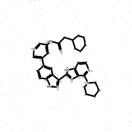 O=C(CC1CCCCC1)Nc1cncc(-c2ccc3[nH]nc(-c4nc5c(N6CCCCC6)nccc5[nH]4)c3c2)c1